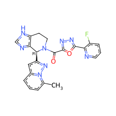 Cc1cccc2cc([C@H]3c4nc[nH]c4CCN3C(=O)c3nnc(-c4ncccc4F)o3)nn12